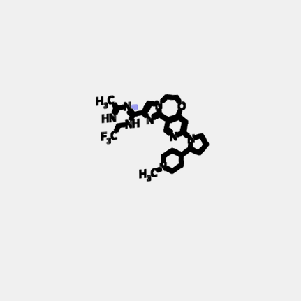 CC(=N)/N=C(\NCC(F)(F)F)c1cn2c(n1)-c1cnc(N3CCCC3C3CCN(C)CC3)cc1OCC2